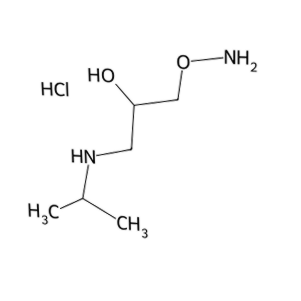 CC(C)NCC(O)CON.Cl